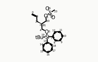 C=CC[C@H](CO[Si](c1ccccc1)(c1ccccc1)C(C)(C)C)COS(C)(=O)=O